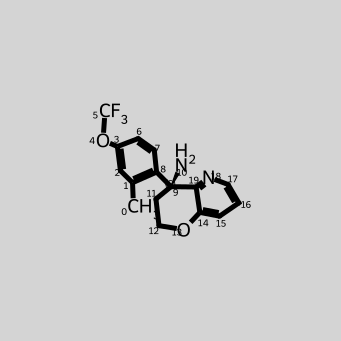 Cc1cc(OC(F)(F)F)ccc1[C@@]1(N)CCOc2cccnc21